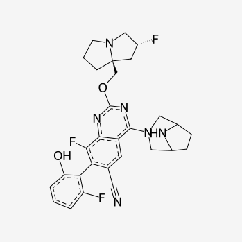 N#Cc1cc2c(N3CC4CCC(C3)N4)nc(OC[C@@]34CCCN3C[C@H](F)C4)nc2c(F)c1-c1c(O)cccc1F